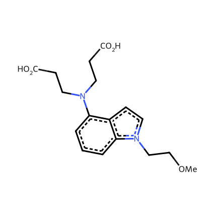 COCCn1ccc2c(N(CCC(=O)O)CCC(=O)O)cccc21